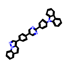 c1ccc2c(c1)ccc1c(-c3ccc(-c4cnc(-c5ccc(-n6c7ccccc7c7ccccc76)cc5)nc4)cc3)cnn12